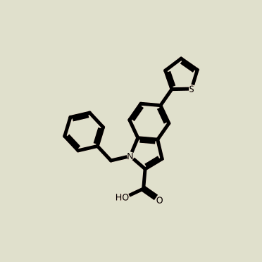 O=C(O)c1cc2cc(-c3cccs3)ccc2n1Cc1ccccc1